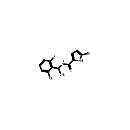 CC(NC(=O)c1ccc(Br)[nH]1)c1c(F)cccc1Cl